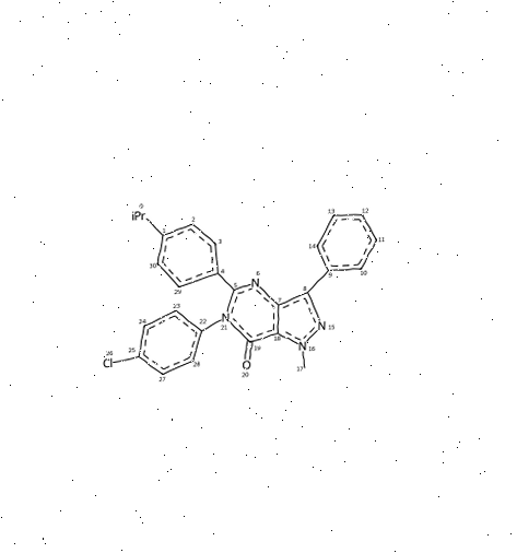 CC(C)c1ccc(-c2nc3c(-c4ccccc4)nn(C)c3c(=O)n2-c2ccc(Cl)cc2)cc1